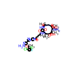 COC1/C=C\C=C(/C)C(=O)NC2=CC(=O)C(NCCCCCC(=O)N3CCC(n4cc(C5=CN=C(N)C(OC(C)c6c(Cl)ccc(F)c6Cl)C5)cn4)CC3)=C(C[C@@H](C)CC(OC)C(O)[C@@H](C)/C=C(\C)C1OC(N)=O)C2=O